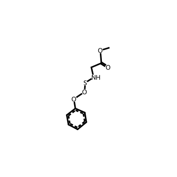 COC(=O)CNSOOc1ccccc1